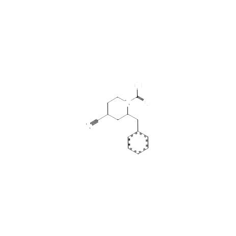 N#CC1CCN(C(=O)O)C(Cc2ccccc2)C1